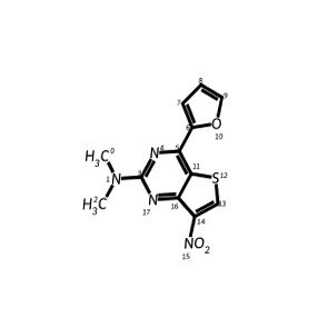 CN(C)c1nc(-c2ccco2)c2scc([N+](=O)[O-])c2n1